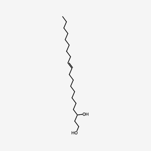 CCCCCCCCC=CCCCCCCCC(O)CCO